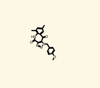 COc1ccc(Cn2nnc3c(=O)[nH]c4c(C)cc(C)cc4c(=O)c32)cc1